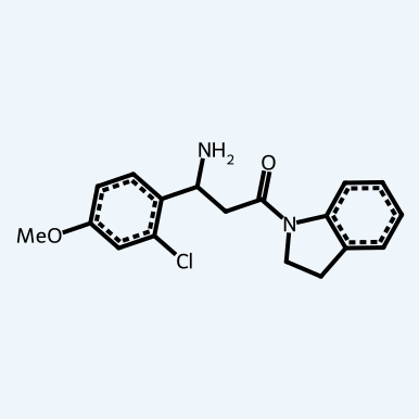 COc1ccc(C(N)CC(=O)N2CCc3ccccc32)c(Cl)c1